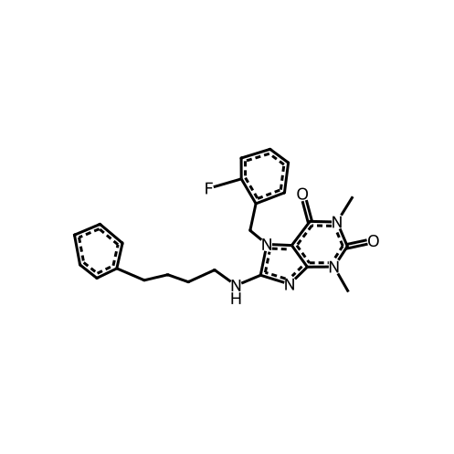 Cn1c(=O)c2c(nc(NCCCCc3ccccc3)n2Cc2ccccc2F)n(C)c1=O